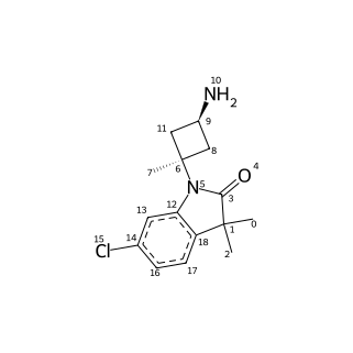 CC1(C)C(=O)N([C@]2(C)C[C@H](N)C2)c2cc(Cl)ccc21